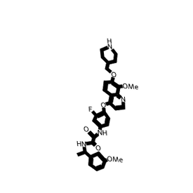 COc1cccc(C(C)NC(=O)C(=O)Nc2ccc(Oc3ccnc4c(OC)c(OCC5CCNCC5)ccc34)c(F)c2)c1